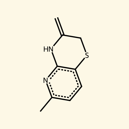 C=C1CSc2ccc(C)nc2N1